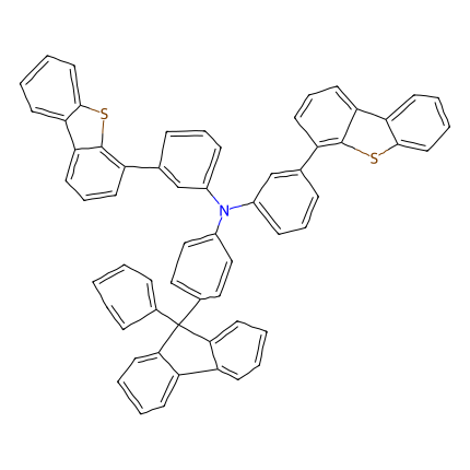 c1ccc(C2(c3ccc(N(c4cccc(-c5cccc6c5sc5ccccc56)c4)c4cccc(-c5cccc6c5sc5ccccc56)c4)cc3)c3ccccc3-c3ccccc32)cc1